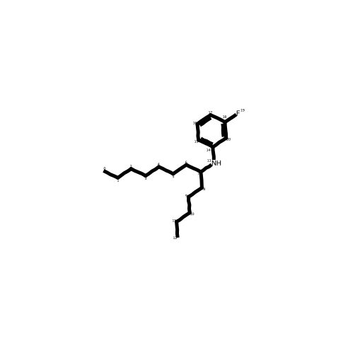 CCCCCCCC(CCCCC)Nc1cccc(F)c1